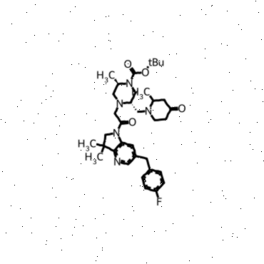 CC1CC(=O)CCN1C[C@H]1CN(C(=O)OC(C)(C)C)[C@H](C)CN1CC(=O)N1CC(C)(C)c2ncc(Cc3ccc(F)cc3)cc21